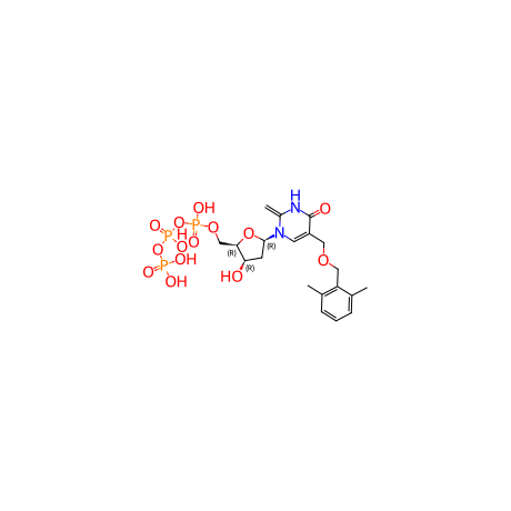 C=C1NC(=O)C(COCc2c(C)cccc2C)=CN1[C@H]1C[C@@H](O)[C@@H](COP(=O)(O)OP(=O)(O)OP(=O)(O)O)O1